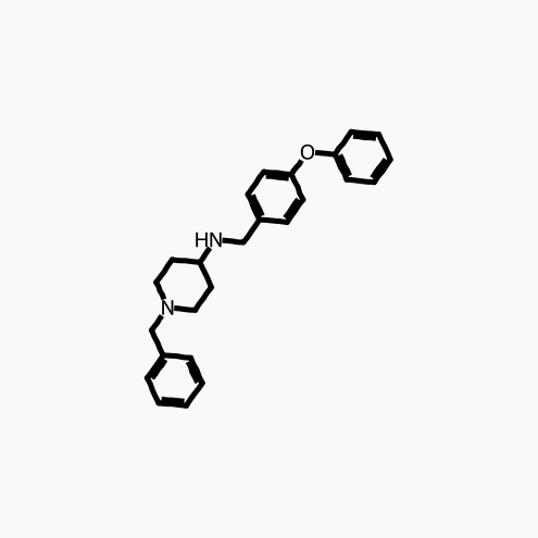 c1ccc(CN2CCC(NCc3ccc(Oc4ccccc4)cc3)CC2)cc1